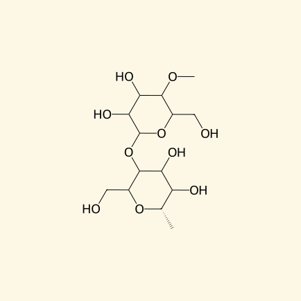 COC1C(CO)OC(OC2C(CO)O[C@@H](C)C(O)C2O)C(O)C1O